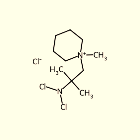 CC(C)(C[N+]1(C)CCCCC1)N(Cl)Cl.[Cl-]